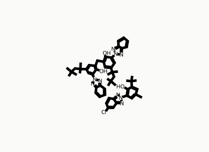 CC(C)(C)CC(C)(C)c1cc(Cc2cc(C(C)(C)CC(C)(C)C)cc(-n3nc4ccccc4n3)c2O)c(O)c(-n2nc3ccccc3n2)c1.Cc1cc(-n2nc3ccc(Cl)cc3n2)c(O)c(C(C)(C)C)c1